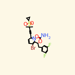 CC(C)(C#Cc1ccc(Br)c(C(Cc2cc(F)cc(F)c2)OC(N)=O)n1)S(=O)(=O)C1CC1